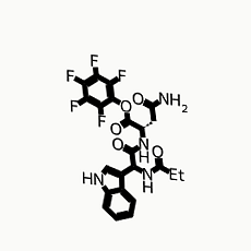 CCC(=O)NC(C(=O)N[C@@H](CC(N)=O)C(=O)Oc1c(F)c(F)c(F)c(F)c1F)c1c[nH]c2ccccc12